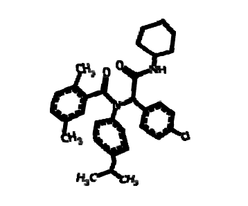 Cc1ccc(C)c(C(=O)N(c2ccc(C(C)C)cc2)C(C(=O)NC2CCCCC2)c2ccc(Cl)cc2)c1